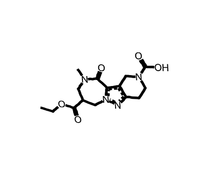 CCOC(=O)C1CN(C)C(=O)c2c3c(nn2C1)CCN(C(=O)O)C3